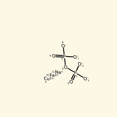 O=P([O-])([O-])OP(=O)([O-])[O-].[Cu+2].[Fe+2].[Na+]